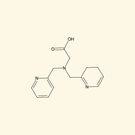 O=C(O)CN(CC1=NC=CCC1)Cc1ccccn1